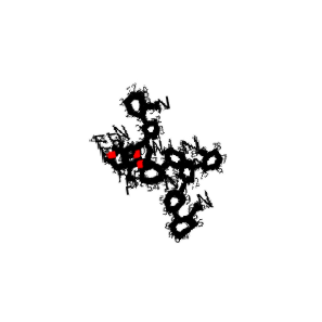 N#Cc1ccc(-n2c3ccc(-c4ccccc4C#N)cc3c3cc(-c4ccccc4C#N)ccc32)c(-c2cc(-c3ccc(C(F)(F)F)cc3C(F)(F)F)ccc2-n2c3ccc(-c4ccccc4C#N)cc3c3cc(-c4ccccc4C#N)ccc32)c1